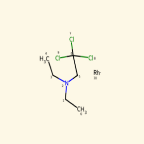 CCN(CC)CC(Cl)(Cl)Cl.[Rh]